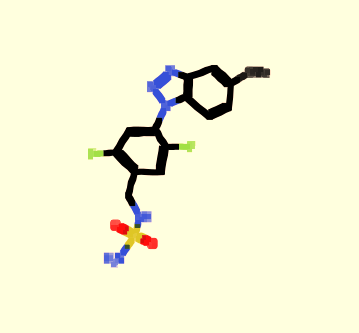 COc1ccc2c(c1)nnn2-c1cc(F)c(CNS(N)(=O)=O)cc1F